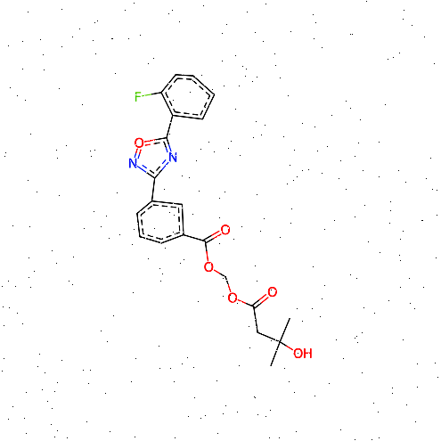 CC(C)(O)CC(=O)OCOC(=O)c1cccc(-c2noc(-c3ccccc3F)n2)c1